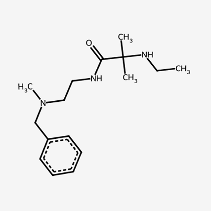 CCNC(C)(C)C(=O)NCCN(C)Cc1ccccc1